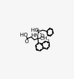 CC(CCC(=O)O)(NP(=O)(O)Cc1ccccc1)c1cccc2ccccc12